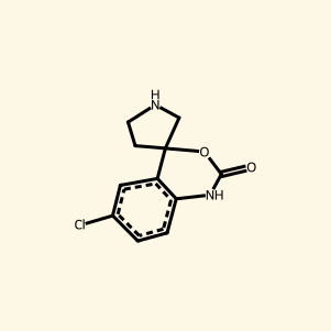 O=C1Nc2ccc(Cl)cc2C2(CCNC2)O1